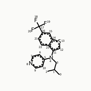 CC(C)CN(c1ccncc1)c1csc2cc(C(F)(F)F)ccc12